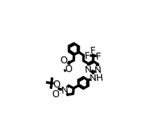 COC(=O)Cc1ccccc1CCc1nc(Nc2ccc(C3CCN(C(=O)OC(C)(C)C)C3)cc2)ncc1C(F)(F)F